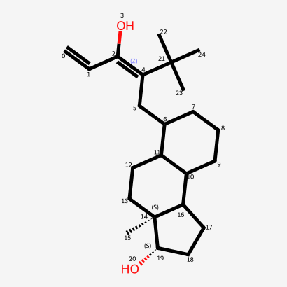 C=C/C(O)=C(\CC1CCCC2C1CC[C@@]1(C)C2CC[C@@H]1O)C(C)(C)C